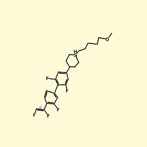 COCCCCC[SiH]1CCC(c2cc(F)c(-c3ccc(/C(F)=C/F)c(F)c3)c(F)c2)CC1